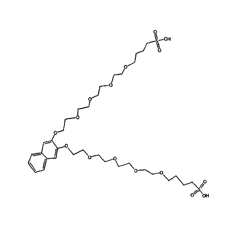 O=S(=O)(O)CCCCOCCOCCOCCOCCOc1cc2ccccc2cc1OCCOCCOCCOCCOCCCCS(=O)(=O)O